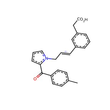 Cc1ccc(C(=O)c2cccn2C/C=C/c2cccc(CC(=O)O)c2)cc1